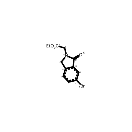 CCOC(=O)CN1Cc2ccc(Br)cc2C1=O